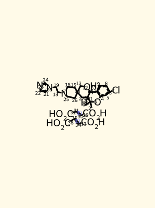 CC1(C)Oc2cc(Cl)ccc2[C@H]2OCC3(CCN(CCn4ccnc4)CC3)C[C@@H]21.O=C(O)/C=C/C(=O)O.O=C(O)/C=C/C(=O)O